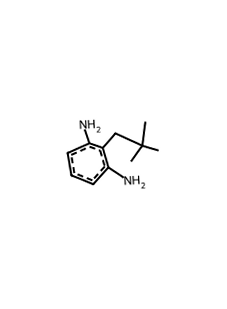 CC(C)(C)Cc1c(N)cccc1N